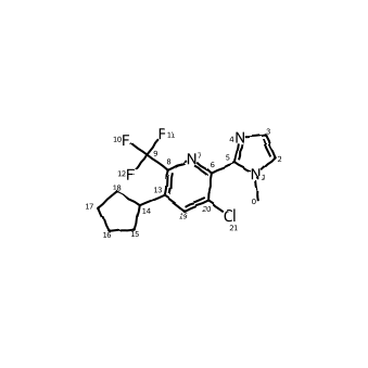 Cn1ccnc1-c1nc(C(F)(F)F)c(C2CCCC2)cc1Cl